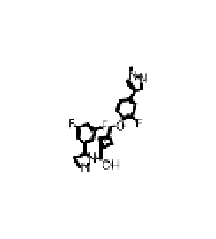 Cn1cc(-c2ccc(OCC34CC(C(O)N5N=CCC5c5cc(F)cc(F)c5)(C3)C4)c(F)c2)cn1